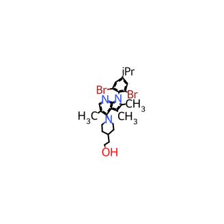 Cc1cnc2c(c(C)c(C)n2-c2c(Br)cc(C(C)C)cc2Br)c1N1CCC(CCO)CC1